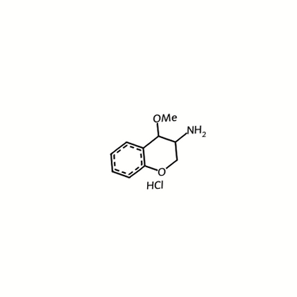 COC1c2ccccc2OCC1N.Cl